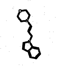 C(=CN1CCOCC1)Cn1ccc2ccccc21